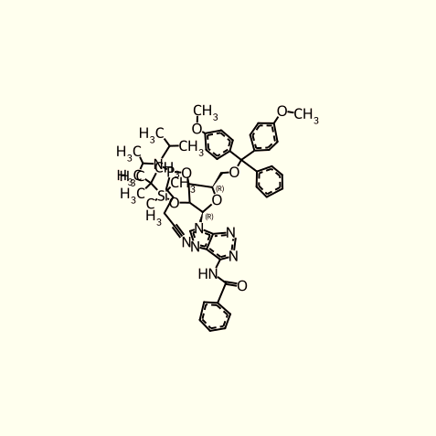 COc1ccc(C(OC[C@H]2O[C@@H](n3cnc4c(NC(=O)c5ccccc5)ncnc43)C(O[Si](C)(C)C(C)(C)C)C2OP(CCCC#N)N(C(C)C)C(C)C)(c2ccccc2)c2ccc(OC)cc2)cc1